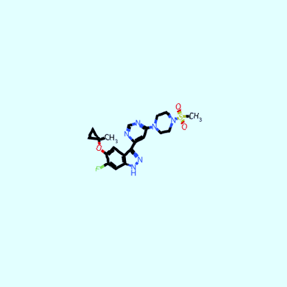 CC1(Oc2cc3c(-c4cc(N5CCN(S(C)(=O)=O)CC5)ncn4)n[nH]c3cc2F)CC1